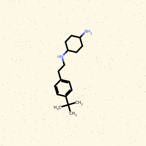 CC(C)(C)c1ccc(CCNC2CCC(N)CC2)cc1